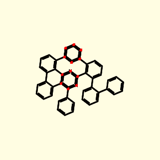 c1ccc(-c2nc(-c3c(-c4ccccc4)cccc3-c3ccccc3-c3ccccc3)nc(-c3c(-c4ccccc4)cccc3-c3ccccc3-c3ccccc3)n2)cc1